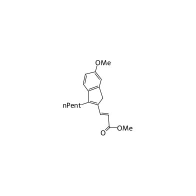 CCCCCC1=C(/C=C/C(=O)OC)Cc2cc(OC)ccc21